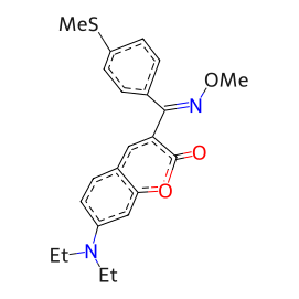 CCN(CC)c1ccc2cc(/C(=N/OC)c3ccc(SC)cc3)c(=O)oc2c1